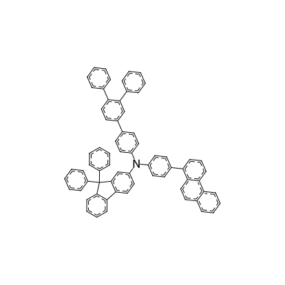 c1ccc(-c2ccc(-c3ccc(N(c4ccc(-c5cccc6c5ccc5ccccc56)cc4)c4ccc5c(c4)C(c4ccccc4)(c4ccccc4)c4ccccc4-5)cc3)cc2-c2ccccc2)cc1